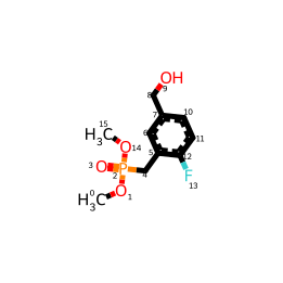 COP(=O)(Cc1cc(CO)ccc1F)OC